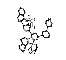 C[Si]1(C)c2cc(-c3cc(-c4cccc(-c5ccncc5)c4)cc4c3-c3ccc5ccccc5c3C43C4CC5CC(C4)CC3C5)ccc2-c2ccc3ccccc3c21